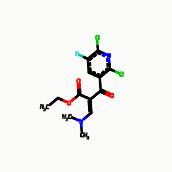 CCOC(=O)C(=CN(C)C)C(=O)c1cc(F)c(Cl)nc1Cl